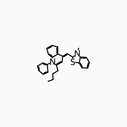 CCCCC1=CC(=CC2Sc3ccccc3N2C)c2ccccc2N1c1ccccc1